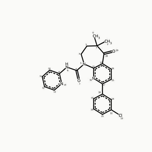 CC1(C)CCN(C(=O)Nc2ccccn2)c2nc(-c3cccc(Cl)c3)ccc2C1=O